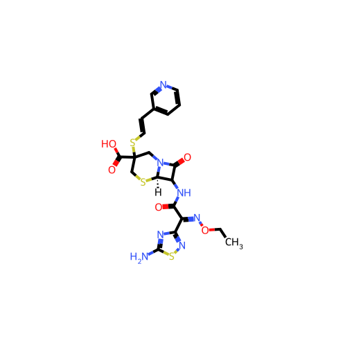 CCON=C(C(=O)NC1C(=O)N2CC(SC=Cc3cccnc3)(C(=O)O)CS[C@H]12)c1nsc(N)n1